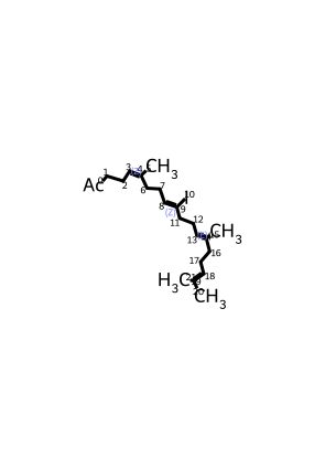 CC(=O)CC/C=C(/C)CC/C=C(\I)CC/C=C(\C)CCC=C(C)C